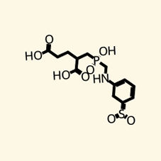 O=C(O)CCC(CP(=O)(O)CNC1=CC=CC(=S(=O)=O)C1)C(=O)O